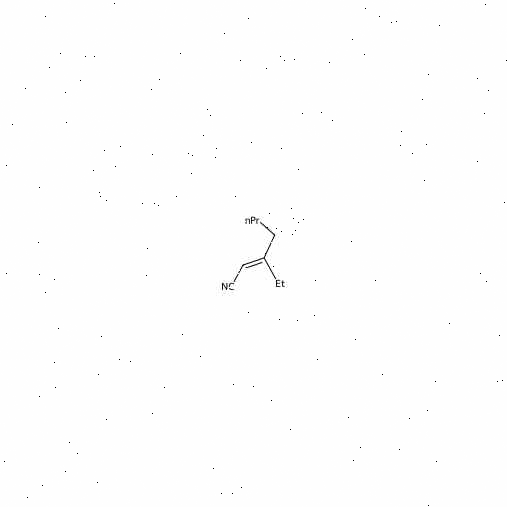 CCCCC(=CC#N)CC